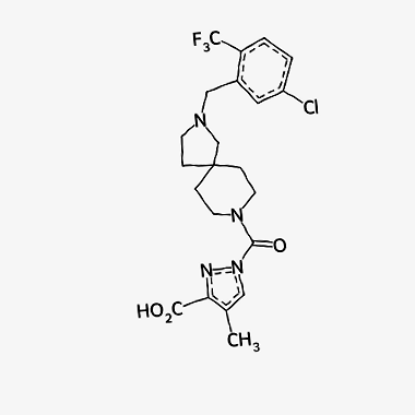 Cc1cn(C(=O)N2CCC3(CCN(Cc4cc(Cl)ccc4C(F)(F)F)C3)CC2)nc1C(=O)O